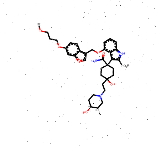 CCOCCCOc1ccc2c(COc3cccc4[nH]c(C(=O)O)c(C5(C(N)=O)CCC(O)(CCN6CC[C@H](O)[C@@H](C)C6)CC5)c34)coc2c1